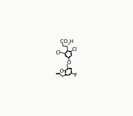 C=C1Cc2cc(F)cc(COc3cc(Cl)c(CCC(=O)O)c(Cl)c3)c2O1